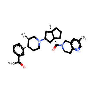 COC(=O)c1cccc([C@H]2CCN([C@H]3C[C@H]4CCC[C@@]4(C(=O)N4CCc5ncc(C(F)(F)F)cc5C4)C3)C[C@@H]2C)c1